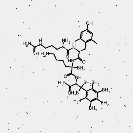 Bc1c(B)c(B)c(C(B)(B)[C@H](NC(=O)[C@](B)(CCCCN)NC(=O)[C@H](Cc2c(C)cc(O)cc2C)NC(=O)[C@H](N)CCCNC(=N)N)C(N)=O)c(B)c1B